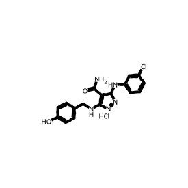 Cl.NC(=O)C1=C(NCc2ccc(O)cc2)N=NC1Nc1cccc(Cl)c1